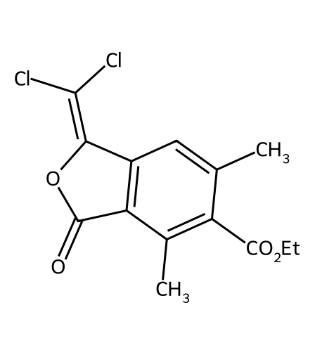 CCOC(=O)c1c(C)cc2c(c1C)C(=O)OC2=C(Cl)Cl